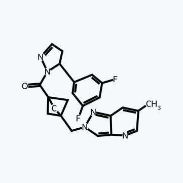 Cc1cnc2cn(CC34CC(C(=O)N5N=CCC5c5cc(F)cc(F)c5)(C3)C4)nc2c1